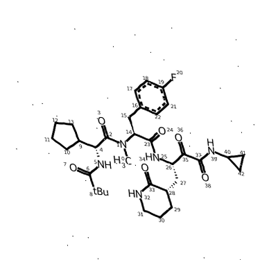 CN(C(=O)[C@H](NC(=O)C(C)(C)C)C1CCCC1)[C@@H](Cc1ccc(F)cc1)C(=O)N[C@@H](C[C@@H]1CCCNC1=O)C(=O)C(=O)NC1CC1